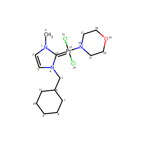 Cn1ccn(CC2CCCCC2)[c]1=[Pt]([Cl])([Cl])[N]1CCOCC1